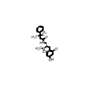 CN(C)[C@H](CNC(=O)CC(C)(C)c1ccccc1)Cc1ccc(O)cc1Cl